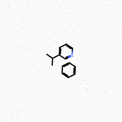 CC(C)c1cccnc1.c1ccccc1